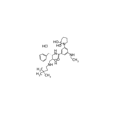 CCNc1cc(C(=O)N[C@@H](Cc2ccccc2)[C@@H](O)CNCCC(C)(C)C)cc(N2CCCCS2(O)O)c1.Cl